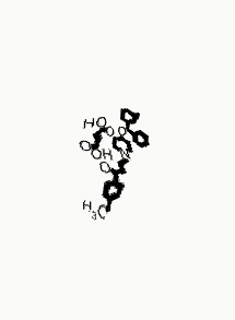 CCc1ccc(C(=O)CCCN2CCC(OC(c3ccccc3)c3ccccc3)CC2)cc1.O=C(O)C=CC(=O)O